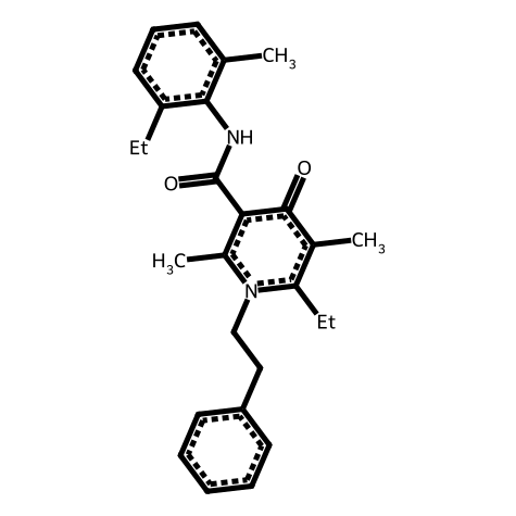 CCc1cccc(C)c1NC(=O)c1c(C)n(CCc2ccccc2)c(CC)c(C)c1=O